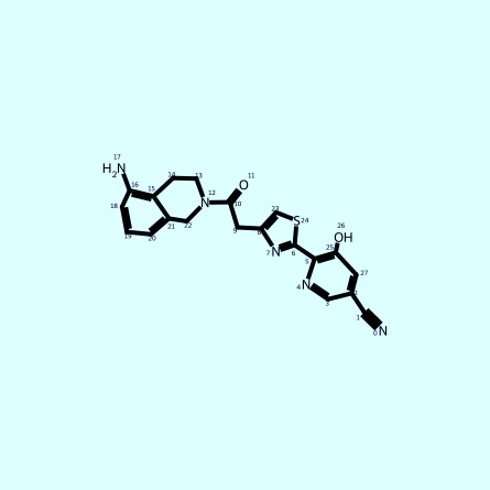 N#Cc1cnc(-c2nc(CC(=O)N3CCc4c(N)cccc4C3)cs2)c(O)c1